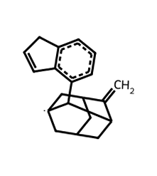 C=C1C2C[C]3CC(C2)CC1C3c1cccc2c1C=CC2